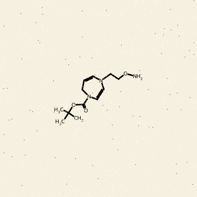 CC(C)(C)OC(=O)N1C=CN(CCON)C=CC1